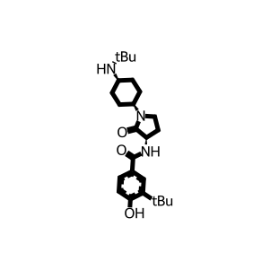 CC(C)(C)N[C@H]1CC[C@@H](N2CC[C@H](NC(=O)c3ccc(O)c(C(C)(C)C)c3)C2=O)CC1